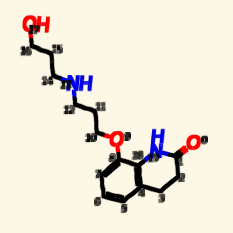 O=C1CCc2cccc(OCCCNCCCO)c2N1